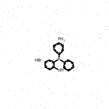 Br.CCCc1ccccc1P(c1ccccc1)c1ccccc1.P